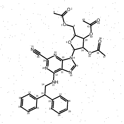 CC(=O)OCC1OC(n2cnc3c(NCC(c4ccccc4)c4ccccc4)nc(C#N)nc32)C(OC(C)=O)C1OC(C)=O